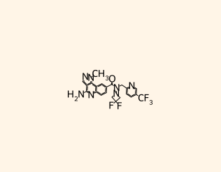 Cn1ncc2c(N)nc3ccc(C(=O)N(Cc4ccc(C(F)(F)F)cn4)N4CC(F)(F)C4)cc3c21